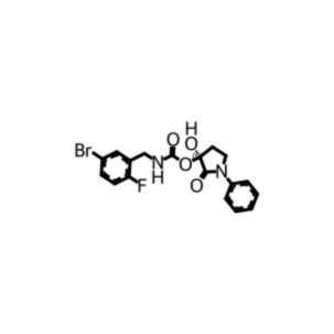 O=C(NCc1cc(Br)ccc1F)O[C@@]1(O)CCN(c2ccccc2)C1=O